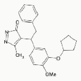 COc1ccc(C(Cc2ccccc2)C2=C(C)N=NC2=O)cc1OC1CCCC1